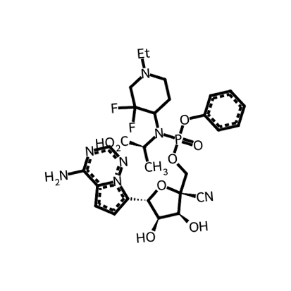 CCN1CCC(N([C@@H](C)C(=O)O)P(=O)(OC[C@@]2(C#N)O[C@@H](c3ccc4c(N)ncnn34)[C@H](O)[C@@H]2O)Oc2ccccc2)C(F)(F)C1